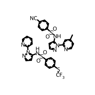 Cc1ccnc(-n2nccc2NS(=O)(=O)c2ccc(C#N)cc2)c1.O=S(=O)(Nc1ccnn1-c1ccccn1)c1ccc(SC(F)(F)F)cc1